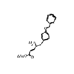 COC(=O)C=CC(N)Cc1ccc(OCc2ccccc2)cc1